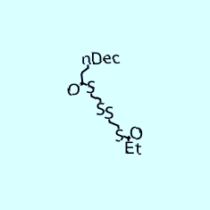 CCCCCCCCCCCCC(=O)SCCSSCCSC(=O)CC